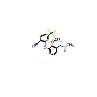 CNCc1cccc(Oc2cc(C(F)(F)F)ccc2C#N)c1OC